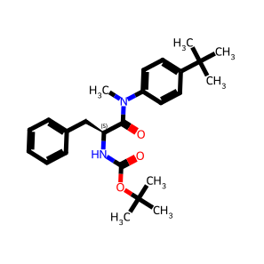 CN(C(=O)[C@H](Cc1ccccc1)NC(=O)OC(C)(C)C)c1ccc(C(C)(C)C)cc1